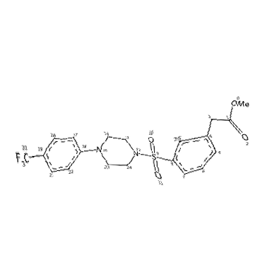 COC(=O)Cc1cccc(S(=O)(=O)N2CCN(c3ccc(C(F)(F)F)cc3)CC2)c1